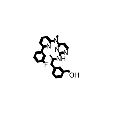 C[C@H](Cc1cccc(CO)c1)Nc1nccc(N(C)c2cccc(-c3cccc(F)c3)n2)n1